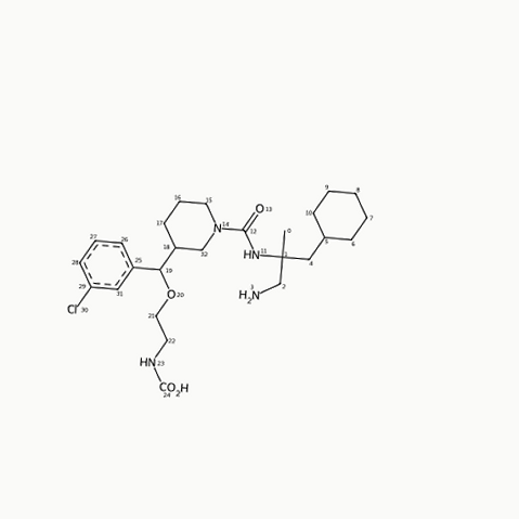 CC(CN)(CC1CCCCC1)NC(=O)N1CCCC(C(OCCNC(=O)O)c2cccc(Cl)c2)C1